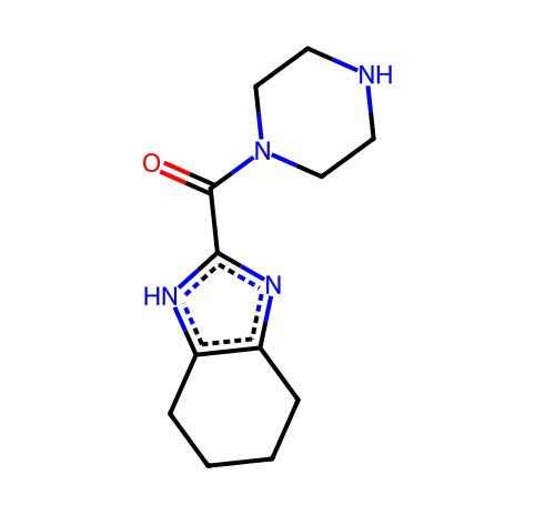 O=C(c1nc2c([nH]1)CCCC2)N1CCNCC1